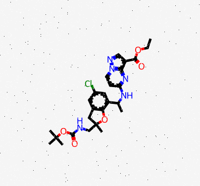 CCOC(=O)c1cnn2ccc(NC(C)c3cc(Cl)cc4c3OC(C)(CNC(=O)OC(C)(C)C)C4)nc12